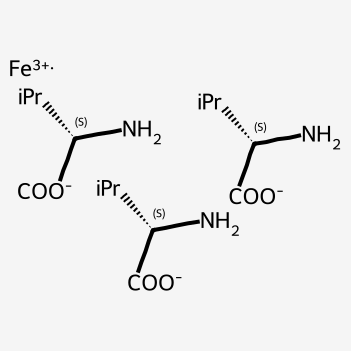 CC(C)[C@H](N)C(=O)[O-].CC(C)[C@H](N)C(=O)[O-].CC(C)[C@H](N)C(=O)[O-].[Fe+3]